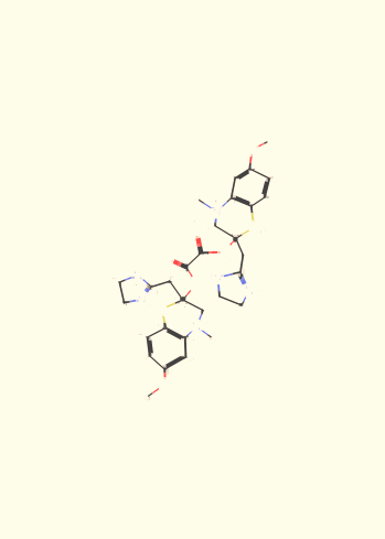 COc1ccc2c(c1)N(C)CC(CC1=NCCN1)(OC(=O)C(=O)OC1(CC3=NCCN3)CN(C)c3cc(OC)ccc3S1)S2